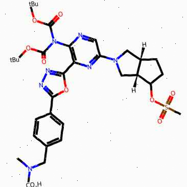 CN(Cc1ccc(-c2nnc(-c3nc(N4C[C@@H]5CCC(OS(C)(=O)=O)[C@@H]5C4)cnc3N(C(=O)OC(C)(C)C)C(=O)OC(C)(C)C)o2)cc1)C(=O)O